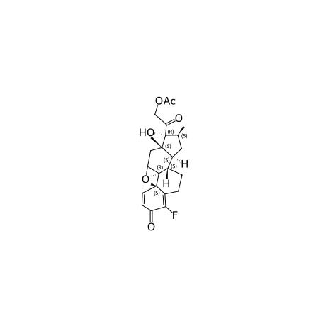 CC(=O)OCC(=O)[C@@]1(O)[C@@H](C)C[C@H]2[C@@H]3CCC4=C(F)C(=O)C=C[C@]4(C)[C@]34OC4C[C@@]21C